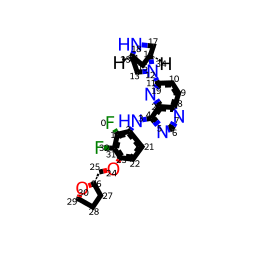 Fc1c(Nc2ncnc3ccc(N4C[C@@H]5C[C@H]4CN5)nc23)ccc(OC[C@@H]2CCCO2)c1F